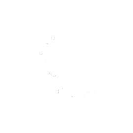 CCOC(=O)CCNCC(=O)OC(C)C(=O)CCCCCNC(=O)OC1CCC2(C)C(=CCC3C2CCC2(C)C(C(C)CCCC(C)C)CCC32)C1